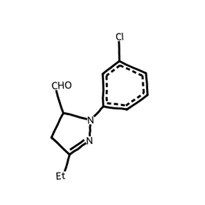 CCC1=NN(c2cccc(Cl)c2)C(C=O)C1